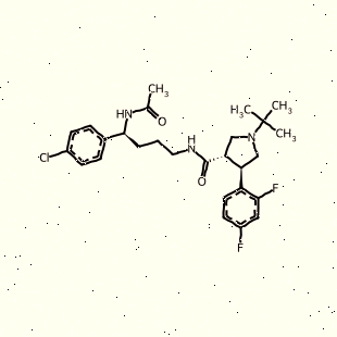 CC(=O)N[C@@H](CCCNC(=O)[C@@H]1CN(C(C)(C)C)C[C@H]1c1ccc(F)cc1F)c1ccc(Cl)cc1